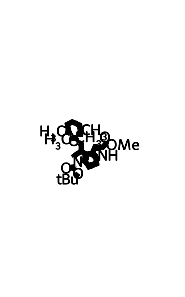 COC(=O)c1cc2c3c(ccc2[nH]1)N(C(=O)OC(C)(C)C)CC3CON1C(C)(C)CCCC1(C)C